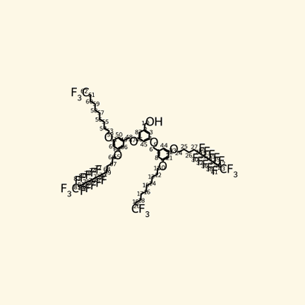 OCc1cc(OCc2cc(OCCCCCCCCCC(F)(F)F)cc(OCCCCC(F)(F)C(F)(F)C(F)(F)C(F)(F)C(F)(F)C(F)(F)F)c2)cc(OCc2cc(OCCCCCCCCCC(F)(F)F)cc(OCCCCC(F)(F)C(F)(F)C(F)(F)C(F)(F)C(F)(F)C(F)(F)F)c2)c1